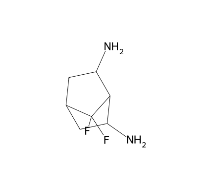 NC1CC2CC(N)C1C2(F)F